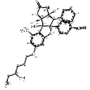 COc1ccc([C@@]23Oc4cc(OCCCC(O)CO)cc(OC)c4[C@]2(O)[C@@H]2OC(=O)N[C@@H]2[C@H]3c2ccccc2)cc1